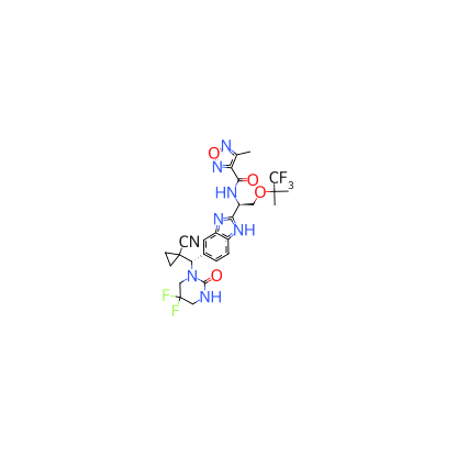 Cc1nonc1C(=O)N[C@@H](COC(C)(C)C(F)(F)F)c1nc2cc([C@H](N3CC(F)(F)CNC3=O)C3(C#N)CC3)ccc2[nH]1